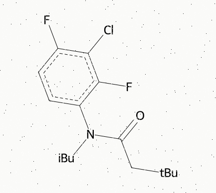 CCC(C)N(C(=O)CC(C)(C)C)c1ccc(F)c(Cl)c1F